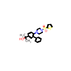 CC(C)(O)c1ccc(N2CCN(S(=O)(=O)c3cccs3)CC2)c(-c2ccccc2)c1